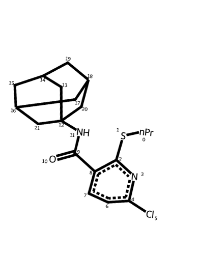 CCCSc1nc(Cl)ccc1C(=O)NC12CC3CC(CC(C3)C1)C2